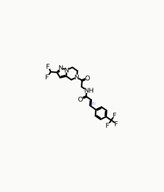 O=C(/C=C/c1ccc(C(F)(F)F)cc1)NCC(=O)N1CCn2nc(C(F)F)cc2C1